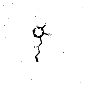 C=CCNCc1ccnc(F)c1Br